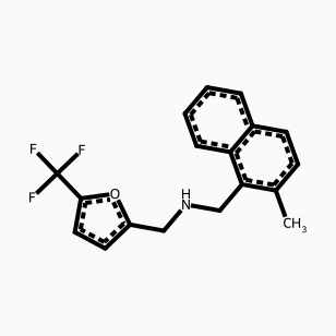 Cc1ccc2ccccc2c1CNCc1ccc(C(F)(F)F)o1